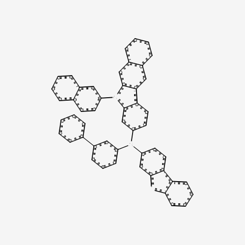 c1ccc(-c2cccc(N(c3ccc4c(c3)oc3ccccc34)c3ccc4c5cc6ccccc6cc5n(-c5ccc6ccccc6c5)c4c3)c2)cc1